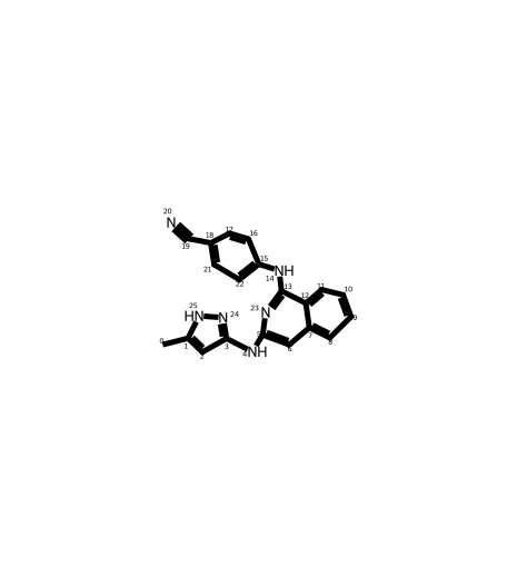 Cc1cc(Nc2cc3ccccc3c(Nc3ccc(C#N)cc3)n2)n[nH]1